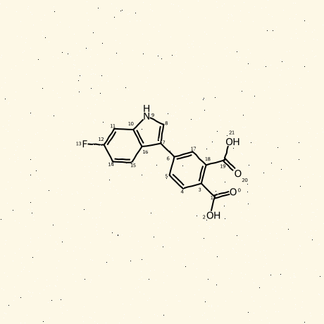 O=C(O)c1ccc(-c2c[nH]c3cc(F)ccc23)cc1C(=O)O